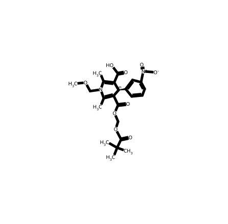 COCN1C(C)=C(C(=O)O)[C@@H](c2cccc([N+](=O)[O-])c2)C(C(=O)OCOC(=O)C(C)(C)C)=C1C